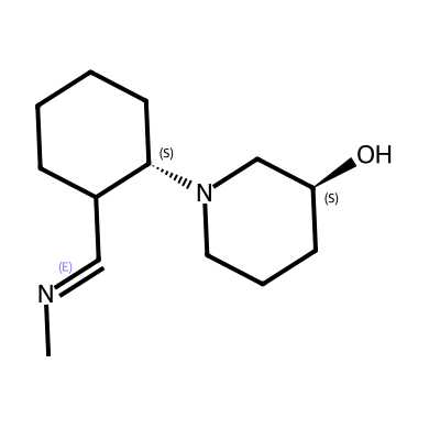 C/N=C/C1CCCC[C@@H]1N1CCC[C@H](O)C1